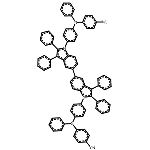 [C-]#[N+]c1ccc(N(c2ccccc2)c2ccc(-n3c(-c4ccccc4)c(-c4ccccc4)c4cc(-c5ccc6c(c5)c(-c5ccccc5)c(-c5ccccc5)n6-c5ccc(N(c6ccccc6)c6ccc(C#N)cc6)cc5)ccc43)cc2)cc1